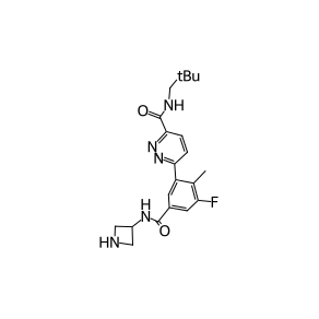 Cc1c(F)cc(C(=O)NC2CNC2)cc1-c1ccc(C(=O)NCC(C)(C)C)nn1